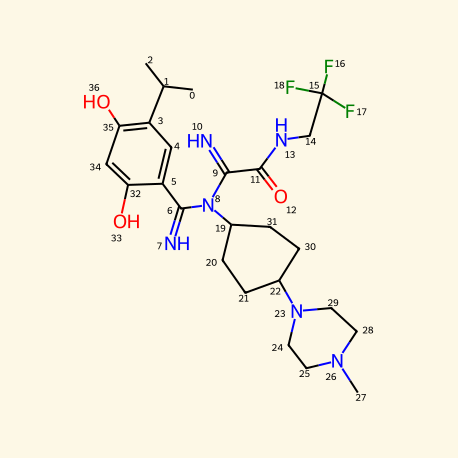 CC(C)c1cc(C(=N)N(C(=N)C(=O)NCC(F)(F)F)C2CCC(N3CCN(C)CC3)CC2)c(O)cc1O